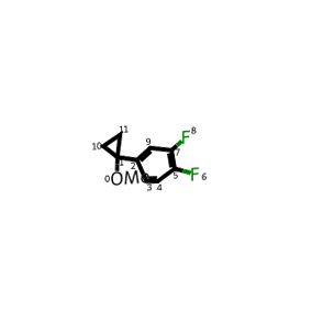 COC1(c2ccc(F)c(F)c2)CC1